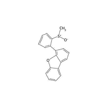 C[S+]([O-])c1ccccc1-c1cccc2c1oc1ccccc12